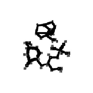 NC12CC3CC(CC(C3)C1)C2.Nc1ccn(C[C@@H](CO)OCP(=O)(O)O)c(=O)n1